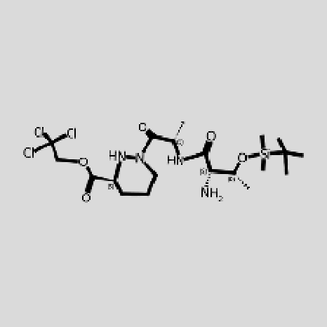 C[C@H](NC(=O)[C@@H](N)[C@@H](C)O[Si](C)(C)C(C)(C)C)C(=O)N1CCC[C@@H](C(=O)OCC(Cl)(Cl)Cl)N1